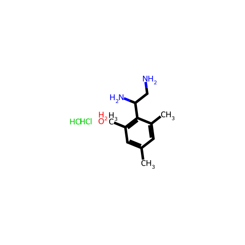 Cc1cc(C)c(C(N)CN)c(C)c1.Cl.Cl.O